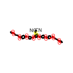 C=CC(=O)OCCCCOC(=O)[C@H]1CC[C@H](C(=O)O[C@H]2CC[C@H](C(=O)Oc3ccc(OC(=O)[C@H]4CC[C@H](OC(=O)[C@H]5CC[C@H](C(=O)OCCCCOC(=O)C=C)CC5)CC4)c4c3SC(=C(C#N)C#N)S4)CC2)CC1